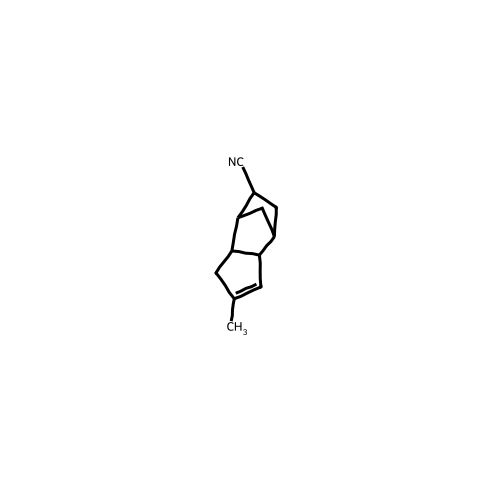 CC1=CC2C3CC(C#N)C(C3)C2C1